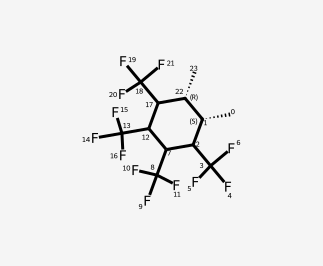 C[C@@H]1C(C(F)(F)F)C(C(F)(F)F)C(C(F)(F)F)C(C(F)(F)F)[C@@H]1C